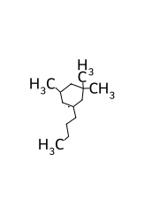 CCCC[C]1CC(C)CC(C)(C)C1